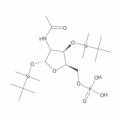 CC(=O)NC1[C@@H](O[Si](C)(C)C(C)(C)C)O[C@H](COP(=O)(O)O)[C@@H]1O[Si](C)(C)C(C)(C)C